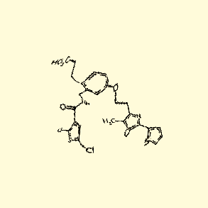 Cc1oc(-c2cccs2)nc1CCOc1ccc(CCC(=O)O)c(CNC(=O)c2cc(Cl)sc2Cl)c1